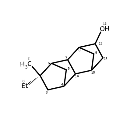 CC[C@@]1(C)CC2CC1C1C3CC(CC3O)C21